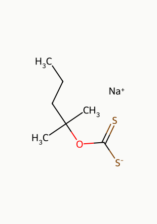 CCCC(C)(C)OC(=S)[S-].[Na+]